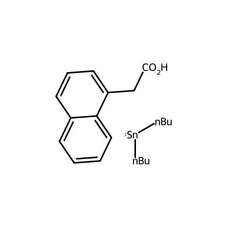 CCC[CH2][Sn][CH2]CCC.O=C(O)Cc1cccc2ccccc12